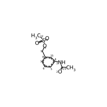 CC(=O)Nc1cccc(COS(C)(=O)=O)c1